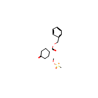 CS(=O)(=O)OC[C@@H]1CC(=O)CC[C@@H]1C(=O)OCc1ccccc1